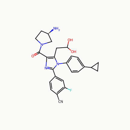 N#Cc1ccc(-c2nc(C(=O)N3CC[C@@H](N)C3)c(CC(O)O)n2-c2ccc(C3CC3)cc2)cc1F